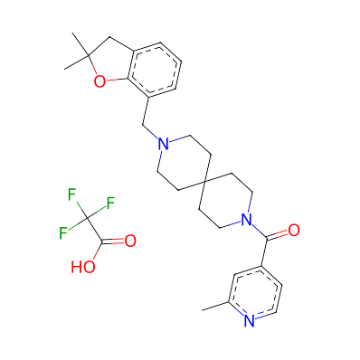 Cc1cc(C(=O)N2CCC3(CCN(Cc4cccc5c4OC(C)(C)C5)CC3)CC2)ccn1.O=C(O)C(F)(F)F